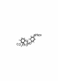 CCCCCCc1ccc(OC(=O)Oc2ccccc2C(=O)OCC)cc1